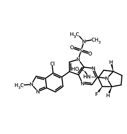 CN(C)S(=O)(=O)n1cc(-c2ccc3nn(C)cc3c2Cl)c2ncc(N3[C@H]4CC[C@@H]3[C@@H](F)[C@H](NC(=O)O)C4)nc21